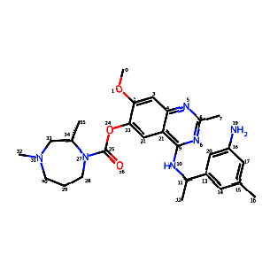 COc1cc2nc(C)nc(NC(C)c3cc(C)cc(N)c3)c2cc1OC(=O)N1CCCN(C)CC1C